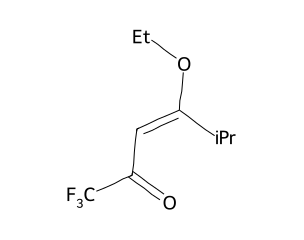 CCOC(=CC(=O)C(F)(F)F)C(C)C